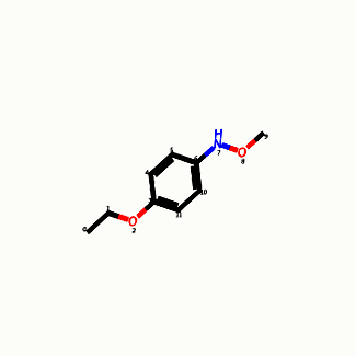 CCOc1ccc(NOC)cc1